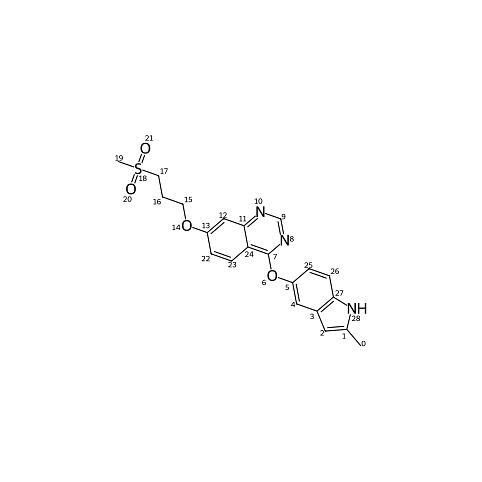 Cc1cc2cc(Oc3ncnc4cc(OCCCS(C)(=O)=O)ccc34)ccc2[nH]1